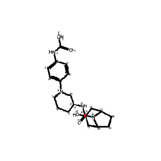 O=C(O)Nc1ccc(N2CCC[C@H](NC(=O)N3C4CCC3CC(O)C4)C2)cc1